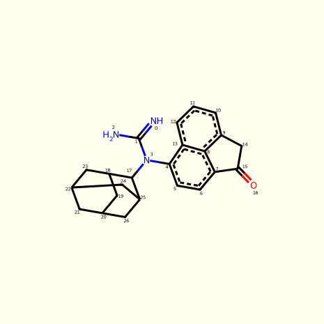 N=C(N)N(c1ccc2c3c(cccc13)CC2=O)C1C2CC3CC(C2)CC1C3